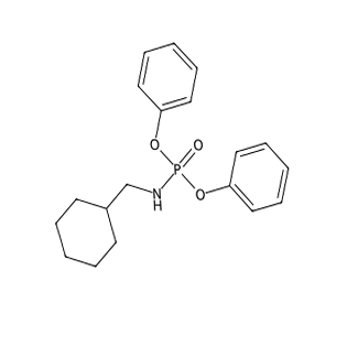 O=P(NCC1CCCCC1)(Oc1ccccc1)Oc1ccccc1